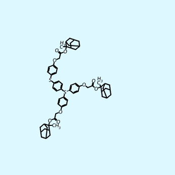 CC1(OC(=O)COc2ccc(Sc3ccc([S+](c4ccc(OCC(=O)OC5(C)C6CC7CC(C6)CC5C7)cc4)c4ccc(OCC(=O)OC5(C)C6CC7CC(C6)CC5C7)cc4)cc3)cc2)C2CC3CC(C2)CC1C3